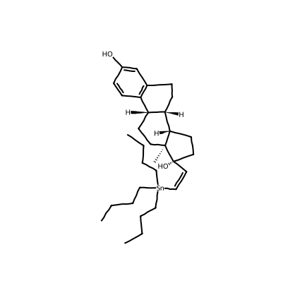 CCC[CH2][Sn](/[CH]=C\[C@]1(O)CC[C@H]2[C@H]3CCc4cc(O)ccc4[C@H]3CC[C@@]21C)([CH2]CCC)[CH2]CCC